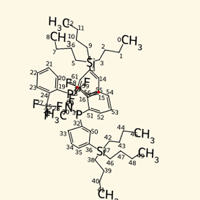 CCCC[Si](CCCC)(CCCC)c1cccc(P(c2ccccc2C(F)(F)F)N(C)P(c2cccc([Si](CCCC)(CCCC)CCCC)c2)c2ccccc2C(F)(F)F)c1